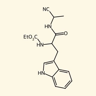 CCOC(=O)NC(Cc1c[nH]c2ccccc12)C(=O)NC(C)C#N